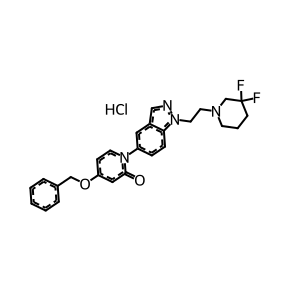 Cl.O=c1cc(OCc2ccccc2)ccn1-c1ccc2c(cnn2CCN2CCCC(F)(F)C2)c1